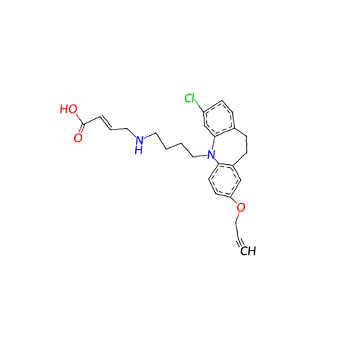 C#CCOc1ccc2c(c1)CCc1ccc(Cl)cc1N2CCCCNC/C=C/C(=O)O